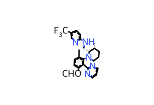 Cc1ccc(C=O)c(-c2ncccn2)c1N1CCC[C@@H](C)[C@H]1CNc1ccc(C(F)(F)F)cn1